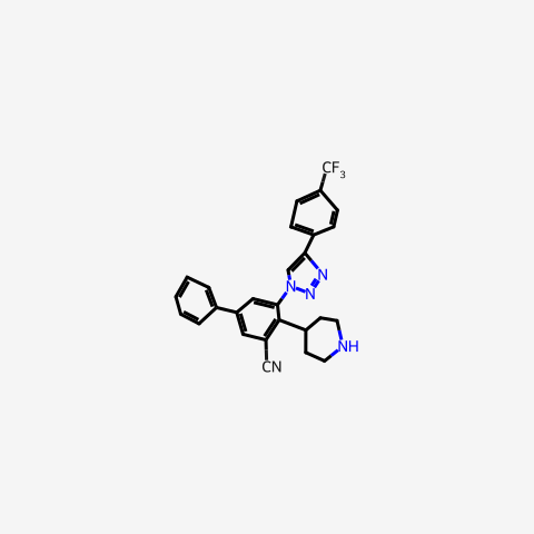 N#Cc1cc(-c2ccccc2)cc(-n2cc(-c3ccc(C(F)(F)F)cc3)nn2)c1C1CCNCC1